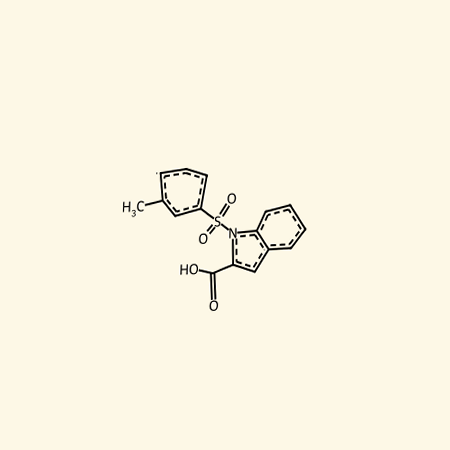 Cc1[c]ccc(S(=O)(=O)n2c(C(=O)O)cc3ccccc32)c1